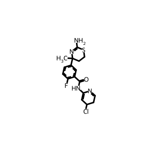 CC1(c2ccc(F)c(C(=O)NC3=CC(Cl)CC=N3)c2)CCSC(N)=N1